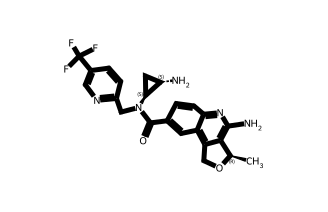 C[C@H]1OCc2c1c(N)nc1ccc(C(=O)N(Cc3ccc(C(F)(F)F)cn3)[C@H]3C[C@@H]3N)cc21